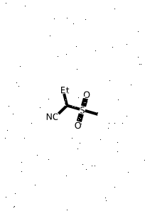 CCC(C#N)S(C)(=O)=O